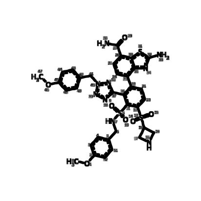 COc1ccc(CNS(=O)(=O)c2c(S(=O)(=O)C3CNC3)ccc(-c3ccc(C(N)=O)c4sc(N)nc34)c2-c2nnn(Cc3ccc(OC)cc3)n2)cc1